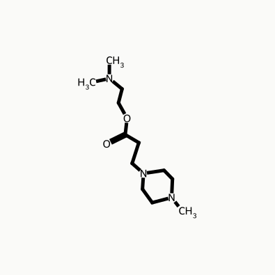 CN(C)CCOC(=O)CCN1CCN(C)CC1